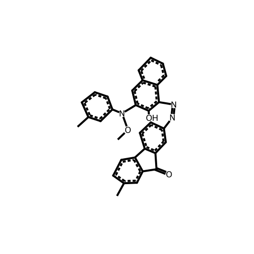 CON(c1cccc(C)c1)c1cc2ccccc2c(/N=N\c2ccc3c(c2)C(=O)c2cc(C)ccc2-3)c1O